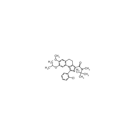 COc1cc2c(cc1OC(C)C)-n1c(-c3ccccc3Cl)nc(C(=O)N(C)C(C)(C)C)c1CC2